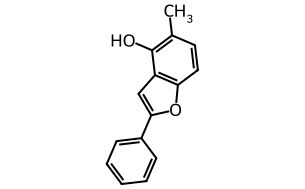 Cc1ccc2oc(-c3ccccc3)cc2c1O